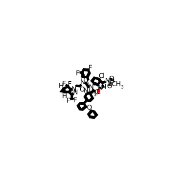 Cn1nc(NS(C)(=O)=O)c2c(Cl)ccc(-n3c([C@H](Cc4cc(F)cc(F)c4)NC(=O)Cn4nc(C(F)F)c5c4C(F)(F)[C@@H]4C[C@H]54)nc4cc(-c5ccccc5Oc5ccccc5)ccc4c3=O)c21